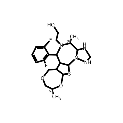 C[C@H]1COCC2C(O1)SC1C2C(c2c(F)cccc2F)N(CCO)[C@@H](C)C2NCNN12